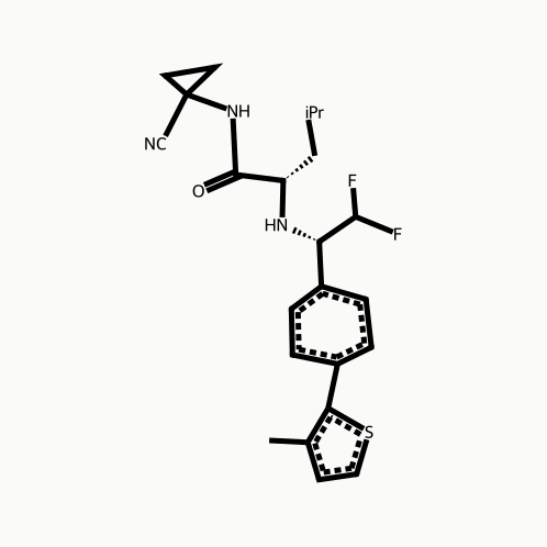 Cc1ccsc1-c1ccc([C@H](N[C@@H](CC(C)C)C(=O)NC2(C#N)CC2)C(F)F)cc1